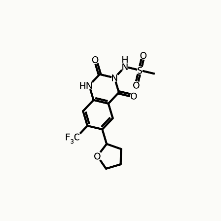 CS(=O)(=O)Nn1c(=O)[nH]c2cc(C(F)(F)F)c(C3CCCO3)cc2c1=O